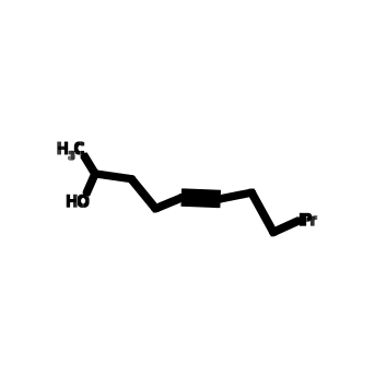 CC(C)CCC#CCCC(C)O